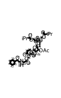 CC(=O)O[C@@H]1[C@@](CF)(COP(=O)(OCOC(=O)C(C)C)OCOC(=O)C(C)C)O[C@@H](n2ccc(=O)n(COC(=O)C(NCC(=O)c3ccccc3)C(C)C)c2=O)[C@]1(C)O